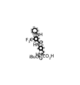 CC(C)COC(=O)NC(Cc1ccc(NC(=O)c2cc(NC3=NCCCCC3)cc(C(F)(F)F)c2)cc1)C(=O)O